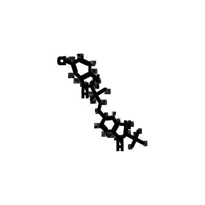 CC(C)(C)c1nc2cc(CCC(C)(C)c3nc4ccc(Cl)cc4[nH]3)ccc2[nH]1